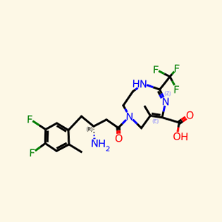 C/C1=C(C(=O)O)\N=C(\C(F)(F)F)NCCN(C(=O)C[C@H](N)Cc2cc(F)c(F)cc2C)C1